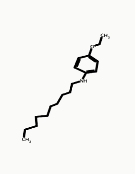 CCCCCCCCCCNc1ccc(OCC)cc1